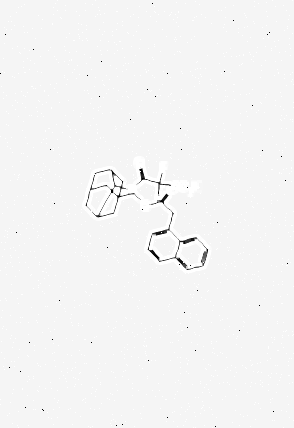 O=C(Cc1cccc2ccccc12)OCC12CC3CC(C1)C(OC(=O)C(F)(F)S(=O)(=O)O)C(C3)C2